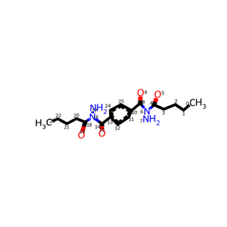 CCCCC(=O)N(N)C(=O)c1ccc(C(=O)N(N)C(=O)CCCC)cc1